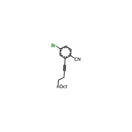 CCCCCCCCCCC#Cc1cc(Br)ccc1C#N